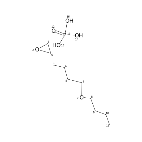 C1CO1.CCCCOCCCC.O=P(O)(O)O